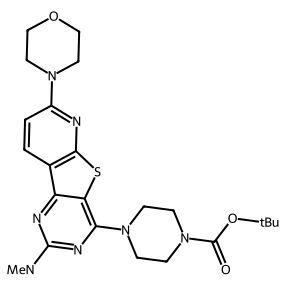 CNc1nc(N2CCN(C(=O)OC(C)(C)C)CC2)c2sc3nc(N4CCOCC4)ccc3c2n1